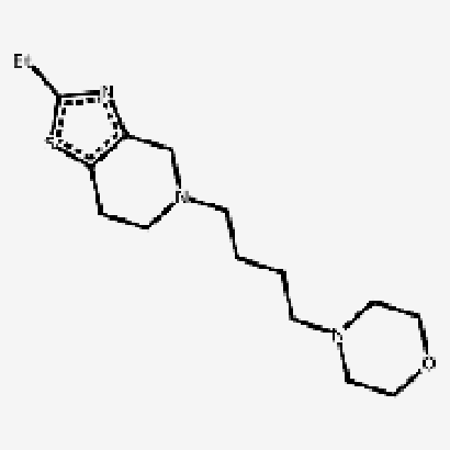 CCc1nc2c(s1)CCN(CCCCN1CCOCC1)C2